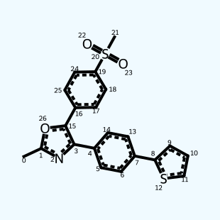 Cc1nc(-c2ccc(-c3cccs3)cc2)c(-c2ccc(S(C)(=O)=O)cc2)o1